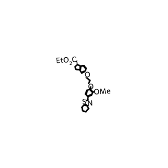 CCOC(=O)C[C@@H]1CCc2cc(OCCCOc3ccc(-c4nc5c(s4)CCCC5)cc3OC)ccc21